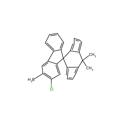 Bc1cc2c(cc1Cl)C1(c3ccccc3-2)c2ccccc2C(C)(C)c2ccccc21